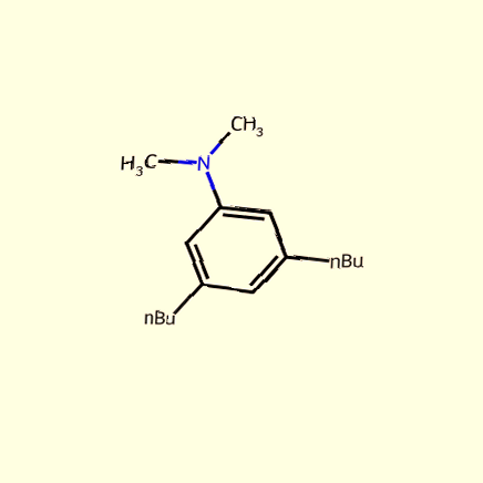 CCCCc1cc(CCCC)cc(N(C)C)c1